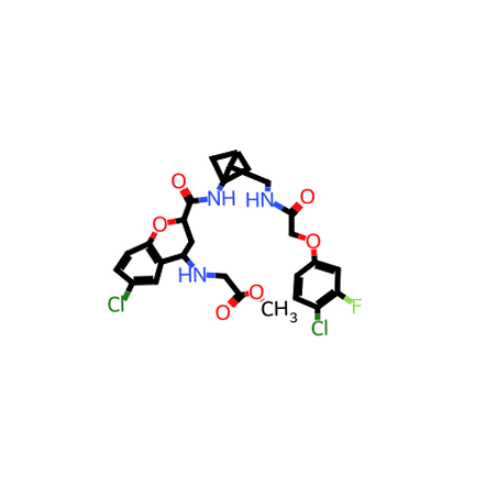 COC(=O)CNC1CC(C(=O)NC23CC(C2)C3CNC(=O)COc2ccc(Cl)c(F)c2)Oc2ccc(Cl)cc21